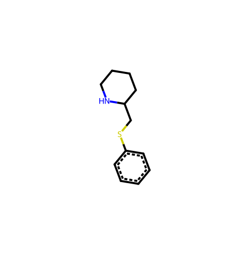 c1ccc(SCC2CCCCN2)cc1